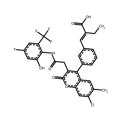 CC/C(=C\c1cccc(-c2c(CC(=O)Nc3c(O)cc(F)cc3C(F)(F)F)c(=O)oc3cc(Cl)c(C)cc23)c1)C(=O)O